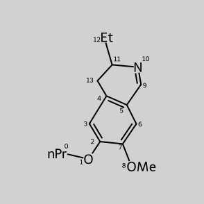 CCCOc1cc2c(cc1OC)C=NC(CC)C2